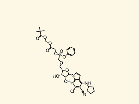 CC(C)(C)C(=O)OCOC(=O)COP(=O)(COC[C@H]1O[C@@H](n2ccc3c(NC4CCCC4)c(C#N)c(Cl)nc32)[C@H](O)[C@@H]1O)Oc1ccccc1